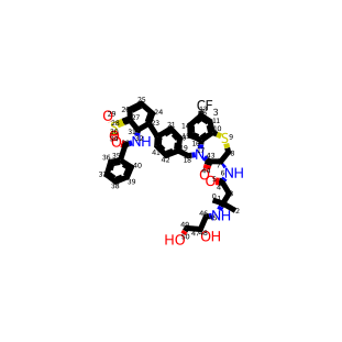 CC(C)(CC(=O)N[C@@H]1CSc2cc(C(F)(F)F)ccc2N(Cc2ccc(C3=CC=CC(=S(=O)=O)C3NC(=O)c3ccccc3)cc2)C1=O)NC[C@H](O)CO